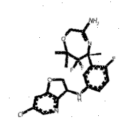 CC1(C)OCC(N)=N[C@](C)(c2cc(NC3COc4cc(Cl)cnc43)ccc2F)C1(F)F